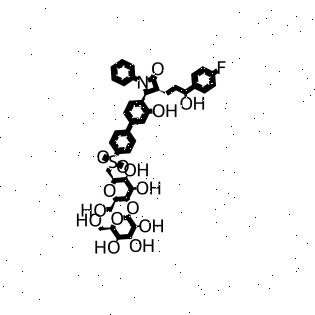 O=C1[C@H](CC[C@H](O)c2ccc(F)cc2)[C@@H](c2ccc(-c3ccc(S(=O)(=O)C[C@@H]4O[C@H](CO)C(O[C@@H]5O[C@H](CO)[C@@H](O)[C@H](O)[C@H]5O)[C@H](O)[C@H]4O)cc3)cc2O)N1c1ccccc1